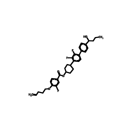 C=CCCCOc1ccc(C(=O)OC2CCC(c3ccc(-c4ccc(C(O)CCC)cc4)c(F)c3F)CC2)cc1F